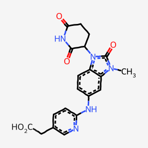 Cn1c(=O)n(C2CCC(=O)NC2=O)c2ccc(Nc3ccc(CC(=O)O)cn3)cc21